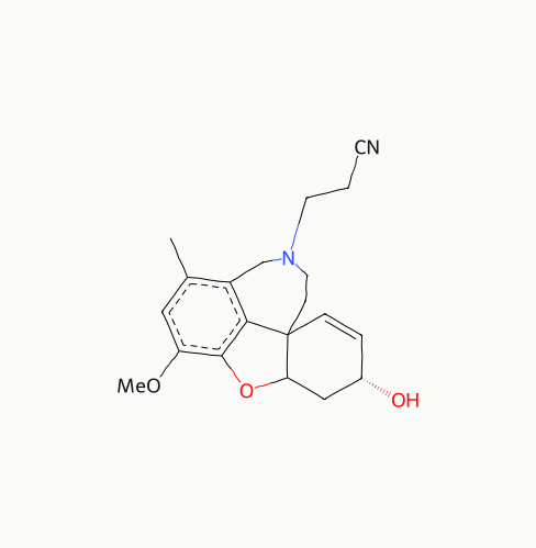 COc1cc(C)c2c3c1OC1C[C@@H](O)C=CC31CCN(CCC#N)C2